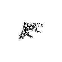 C#CCOc1ccc(-c2ccccc2NC(=O)C(OCC#C)c2ccc(C)cc2)cc1OC